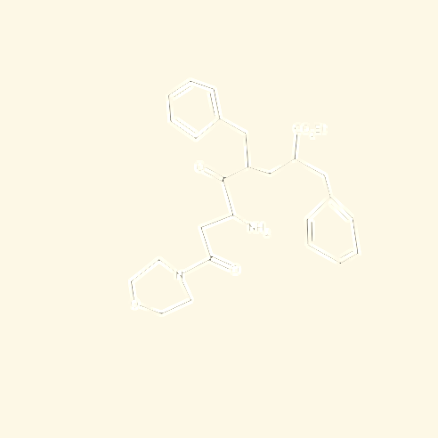 CCOC(=O)C(Cc1ccccc1)CC(Cc1ccccc1)C(=O)C(N)CC(=O)N1CCOCC1